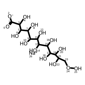 O=C([O-])C(O)C(O)C(O)C(O)C(O)C(O)C(O)C(O)C(O)C(O)COO.[Na+]